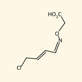 O=C(O)CO/N=C\C=C\CCl